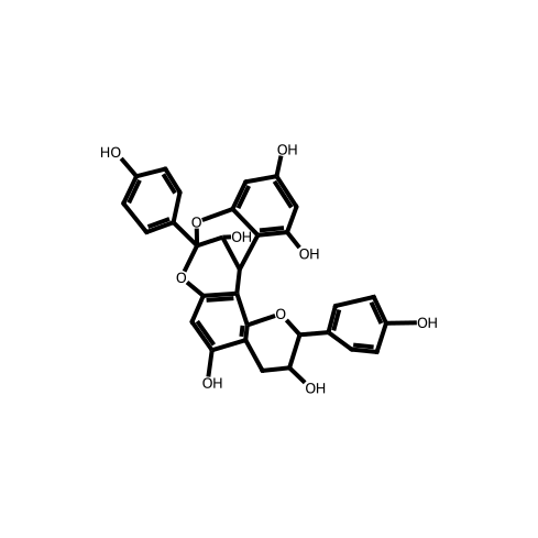 Oc1ccc(C2Oc3c(c(O)cc4c3C3c5c(O)cc(O)cc5OC(c5ccc(O)cc5)(O4)C3O)CC2O)cc1